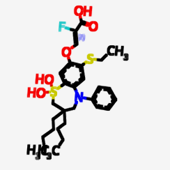 CCCCC1(CCCC)CN(c2ccccc2)c2cc(SCC)c(O/C=C(\F)C(=O)O)cc2S(O)(O)C1